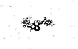 CCCS(=O)(=O)NS(=O)(=O)CCC(F)c1cccc(C(F)CCS(=O)(=O)NS(=O)(=O)CCC)c1C(=O)OC